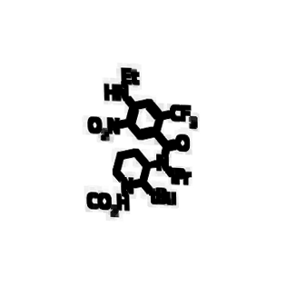 CCNc1cc(C(F)(F)F)c(C(=O)N(C(C)C)[C@@H]2CCCN(C(=O)O)C2C(C)(C)C)cc1[N+](=O)[O-]